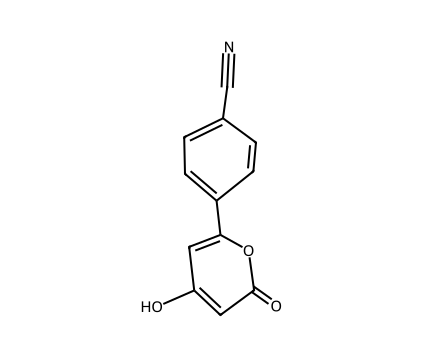 N#Cc1ccc(-c2cc(O)cc(=O)o2)cc1